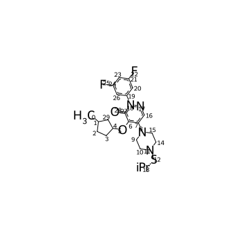 CC1CCC(Oc2c(N3CCN(SC(C)C)CC3)cnn(-c3cc(F)cc(F)c3)c2=O)C1